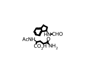 CC(=O)N[C@@H](CCC(N)=O)C(=O)O.O=CN[C@@H]1CCc2ccccc21